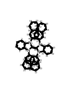 c1ccc2c(c1)N(c1ccc3ccccc3c1)C(=C1N(c3ccc4ccccc4c3)c3ccccc3N1c1ccc3ccccc3c1)N2c1ccc2ccccc2c1